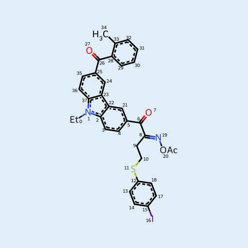 CCn1c2ccc(C(=O)/C(CCSc3ccc(I)cc3)=N/OC(C)=O)cc2c2cc(C(=O)c3ccccc3C)ccc21